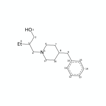 CCC(CO)CN1CCC(Cc2ccccc2)CC1